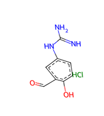 Cl.N=C(N)Nc1ccc(O)c(C=O)c1